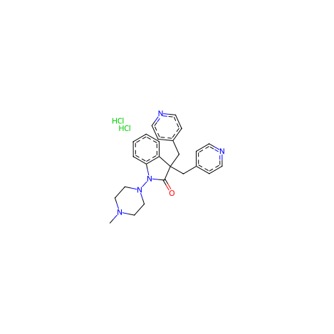 CN1CCN(N2C(=O)C(Cc3ccncc3)(Cc3ccncc3)c3ccccc32)CC1.Cl.Cl